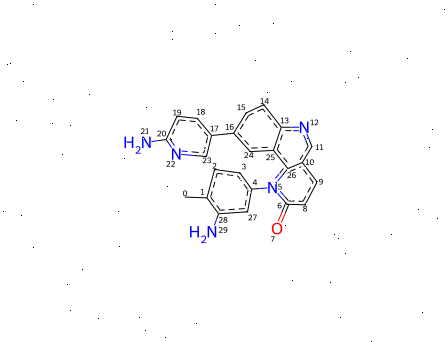 Cc1ccc(-n2c(=O)ccc3cnc4ccc(-c5ccc(N)nc5)cc4c32)cc1N